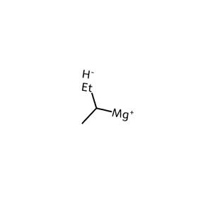 CC[CH](C)[Mg+].[H-]